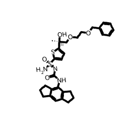 C[C@](O)(COCCOCc1ccccc1)c1ccc(S(N)(=O)=NC(=O)Nc2c3c(cc4c2CCC4)CCC3)s1